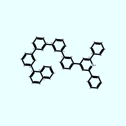 c1ccc(-c2cc(-c3cccc(-c4cccc(-c5cccc(-c6cccc(-c7cccc8ccccc78)c6)c5)c4)c3)cc(-c3ccccc3)n2)cc1